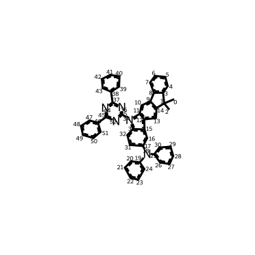 CC1(C)c2ccccc2-c2cc3c(cc21)c1cc(N(c2ccccc2)c2ccccc2)ccc1n3-c1nc(-c2ccccc2)nc(-c2ccccc2)n1